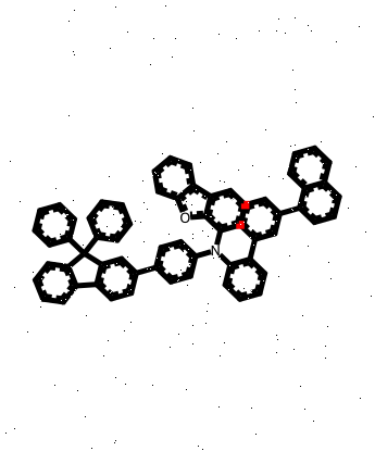 c1ccc(C2(c3ccccc3)c3ccccc3-c3ccc(-c4ccc(N(c5ccccc5-c5cccc(-c6cccc7ccccc67)c5)c5cccc6c5oc5ccccc56)cc4)cc32)cc1